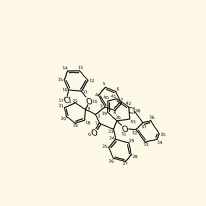 O=C(C(c1ccccc1)C1(Oc2ccccc2Cl)C=CC=CC1)C(c1ccccc1)C1(Oc2ccccc2Cl)C=CC=CC1